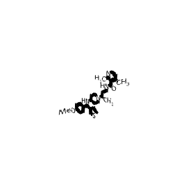 COc1ccc(C(NC2CCN([C@H](C)CCNC(=O)c3c(C)ccnc3C)CC2)c2ccsc2)cc1